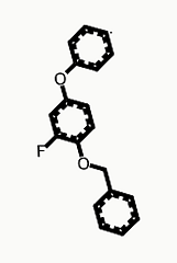 Fc1cc(Oc2cc[c]cc2)ccc1OCc1ccccc1